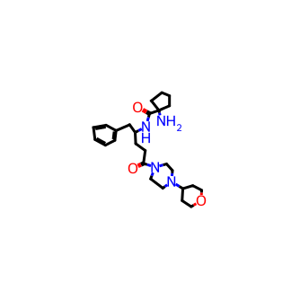 NC1(C(=O)NC(CCC(=O)N2CCN(C3CCOCC3)CC2)Cc2ccccc2)CCCC1